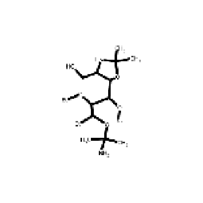 CCOC(C(CC)OC(C)(C)N)C(OCC)C1OC(C)(C)NC1CO